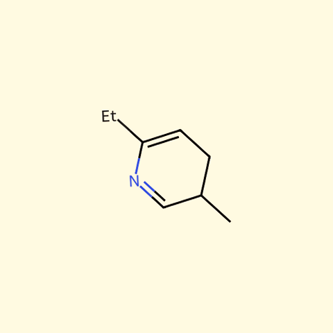 CCC1=CCC(C)C=N1